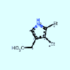 CCc1[nH]cc(CC(=O)O)c1CC